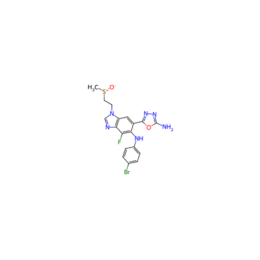 C[S+]([O-])CCn1cnc2c(F)c(Nc3ccc(Br)cc3)c(-c3nnc(N)o3)cc21